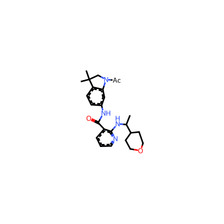 CC(=O)N1CC(C)(C)c2ccc(NC(=O)c3cccnc3NC(C)C3CCOCC3)cc21